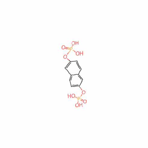 O=P(O)(O)Oc1ccc2cc(OP(=O)(O)O)ccc2c1